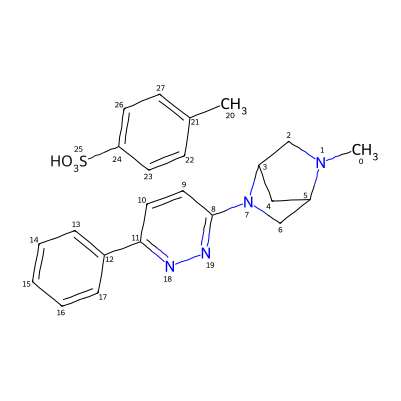 CN1CC2CC1CN2c1ccc(-c2ccccc2)nn1.Cc1ccc(S(=O)(=O)O)cc1